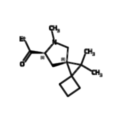 CCC(=O)[C@@H]1C[C@@]2(CN1C)C(C)(C)C21CCC1